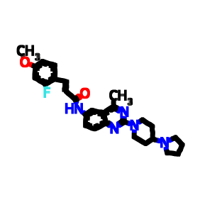 COc1ccc(/C=C/C(=O)Nc2ccc3nc(N4CCC(N5CCCC5)CC4)nc(C)c3c2)c(F)c1